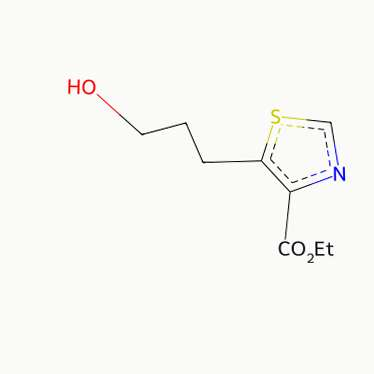 CCOC(=O)c1ncsc1CCCO